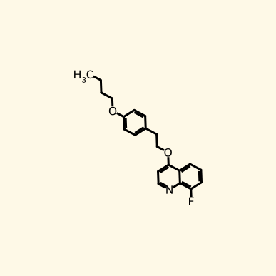 CCCCOc1ccc(CCOc2ccnc3c(F)cccc23)cc1